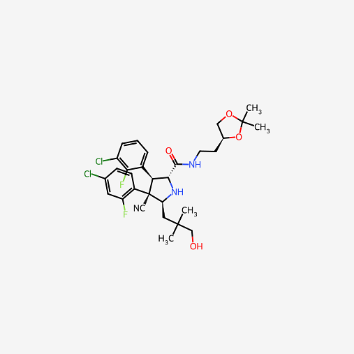 CC(C)(CO)C[C@@H]1N[C@@H](C(=O)NCC[C@H]2COC(C)(C)O2)[C@H](c2cccc(Cl)c2F)[C@@]1(C#N)c1ccc(Cl)cc1F